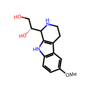 COc1ccc2[nH]c3c(c2c1)CCNC3[C@H](O)CO